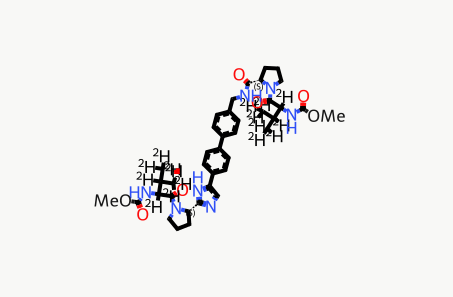 [2H]C([2H])([2H])C([2H])(C([2H])([2H])[2H])C([2H])(NC(=O)OC)C(=O)N1CCC[C@H]1C(=O)NCc1ccc(-c2ccc(-c3cnc([C@@H]4CCCN4C(=O)C([2H])(NC(=O)OC)C([2H])(C([2H])([2H])[2H])C([2H])([2H])[2H])[nH]3)cc2)cc1